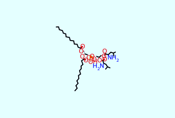 CCCCCCCCCCCCCC(=O)OC[C@H](COP(=O)(O)OCC(COC(=O)[C@@H](N)CC(C)C)OC(=O)[C@@H](N)CC(C)C)OC(=O)CCCCCCCCCCCCC